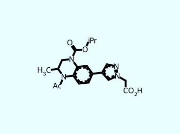 CC(=O)N1c2ccc(-c3cnn(CC(=O)O)c3)cc2N(C(=O)OC(C)C)CC1C